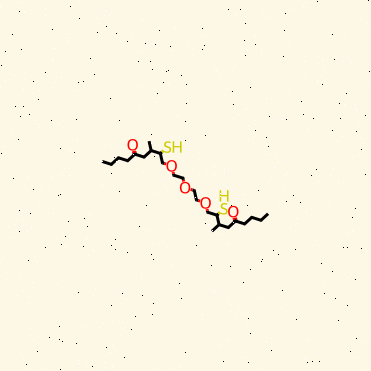 CCCCC(=O)CC(C)C(S)COCCOCCOCC(S)C(C)CC(=O)CCCC